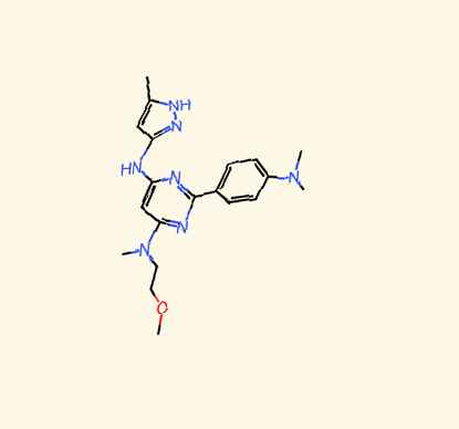 COCCN(C)c1cc(Nc2cc(C)[nH]n2)nc(-c2ccc(N(C)C)cc2)n1